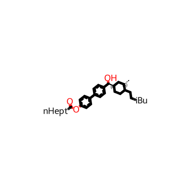 CCCCCCCC(=O)Oc1ccc(-c2ccc(C(O)[C@@H]3CCC(CCC(C)CC)[C@@H](C)C3)cc2)cc1